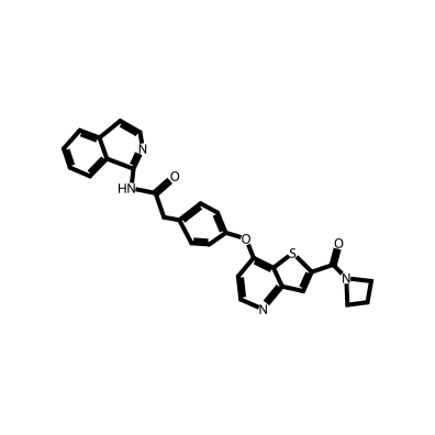 O=C(Cc1ccc(Oc2ccnc3cc(C(=O)N4CCC4)sc23)cc1)Nc1nccc2ccccc12